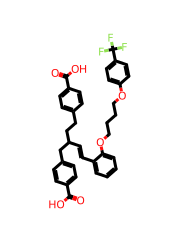 O=C(O)c1ccc(CCC(C=Cc2ccccc2OCCCCOc2ccc(C(F)(F)F)cc2)Cc2ccc(C(=O)O)cc2)cc1